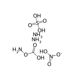 N.N.NOC(=O)O.O=S(=O)(O)O.O=[N+]([O-])O